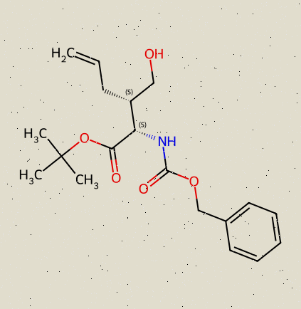 C=CC[C@H](CO)[C@H](NC(=O)OCc1ccccc1)C(=O)OC(C)(C)C